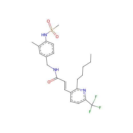 CCCCCc1nc(C(F)(F)F)ccc1C=CC(=O)NCc1ccc(NS(C)(=O)=O)c(C)c1